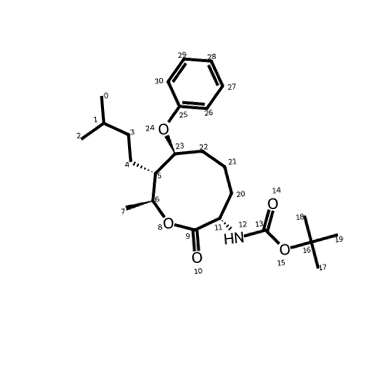 CC(C)CC[C@H]1[C@H](C)OC(=O)[C@@H](NC(=O)OC(C)(C)C)CCC[C@@H]1Oc1ccccc1